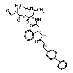 CC(C)[C@@H](C(=O)NC=O)C(=O)[C@@H](NC(=O)C[C@H](NC(=O)/C=C/c1ccc(-c2ccccc2)cc1)c1ccccc1)C(C)C